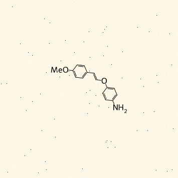 COc1ccc(C=COc2ccc(N)cc2)cc1